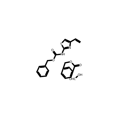 C=Cc1csc(NC(=O)OCc2ccccc2)n1.O=C1OCc2cccc1c2.O=CO